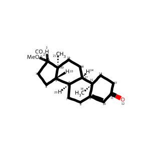 COC1(C(=O)O)CC[C@H]2[C@@H]3CCC4=CC(=O)CC[C@]4(C)[C@@H]3CC[C@@]21C